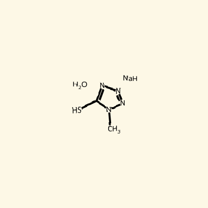 Cn1nnnc1S.O.[NaH]